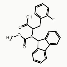 COC(=O)N(C(Cc1ccccc1F)C(=O)O)C1c2ccccc2-c2ccccc21